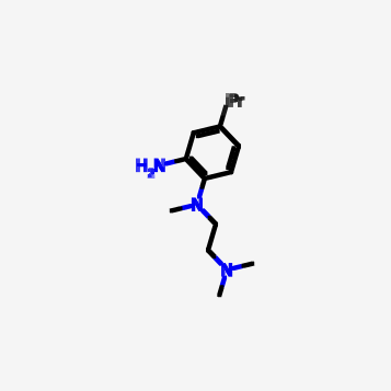 CC(C)c1ccc(N(C)CCN(C)C)c(N)c1